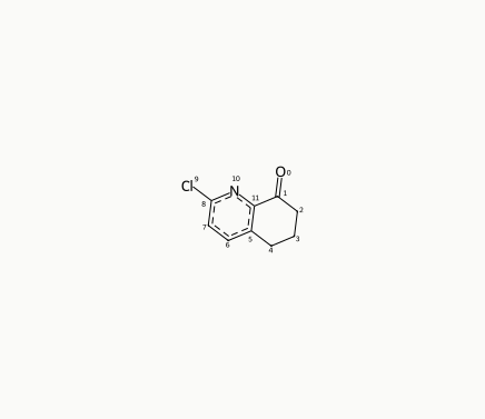 O=C1CCCc2ccc(Cl)nc21